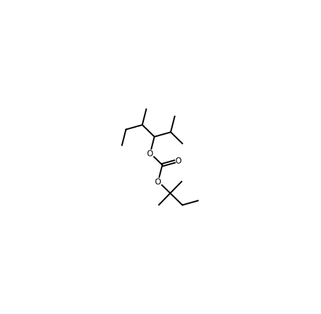 CCC(C)C(OC(=O)OC(C)(C)CC)C(C)C